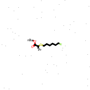 CCCCOC(=O)C(SCCCCCCF)C(C)C